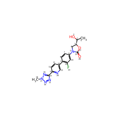 CC(O)[C@@H]1CN(c2ccc(-c3ccc(-c4nnn(C)n4)nc3)c(F)c2)C(=O)O1